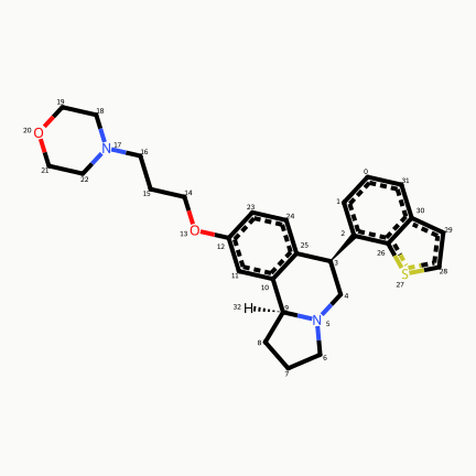 c1cc([C@H]2CN3CCC[C@H]3c3cc(OCCCN4CCOCC4)ccc32)c2sccc2c1